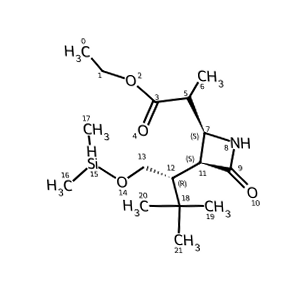 CCOC(=O)C(C)[C@H]1NC(=O)[C@H]1[C@@H](CO[SiH](C)C)C(C)(C)C